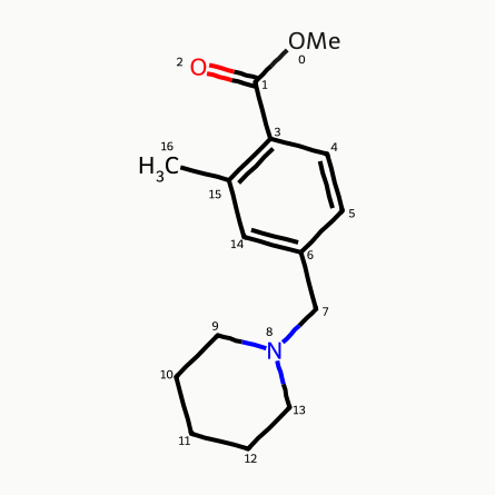 COC(=O)c1ccc(CN2CCCCC2)cc1C